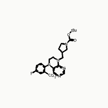 CC(C)(C)OC(=O)N1CCC(CN2CCN(c3ccc(F)cc3C(=O)O)c3cncnc32)C1